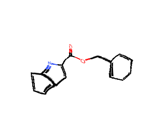 O=C(OCc1ccccc1)C1=CC2=CC=CC2=N1